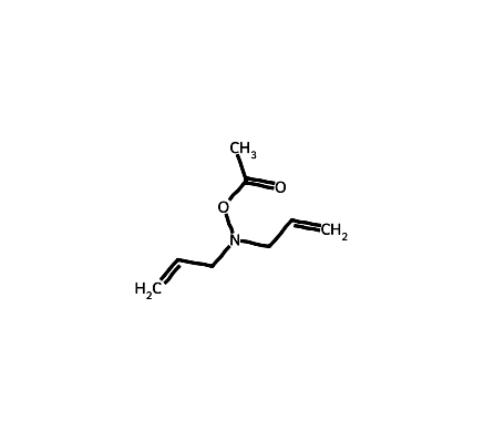 C=CCN(CC=C)OC(C)=O